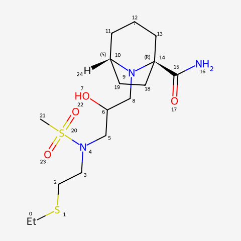 CCSCCN(CC(O)CN1[C@H]2C[CH]C[C@]1(C(N)=O)CC2)S(C)(=O)=O